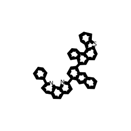 c1ccc(-c2ccc3ccc4ccc(-c5ccc(-c6cc7ccc8sc9ccccc9c8c7c7ccccc67)c6cc7ccccc7cc56)nc4c3n2)cc1